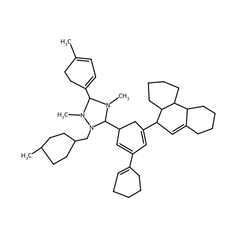 CC1=CC=C(C2N(C)C(C3C=C(C4=CCCCC4)C=C(C4C=C5CCCCC5C5CCCCC45)C3)N(CC3CCC(C)CC3)N2C)CC1